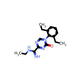 CCNC(=N)c1ncn(-c2c(CC)cccc2CC)c(=O)n1